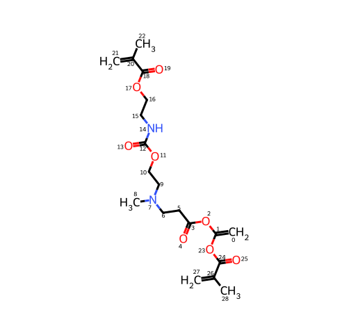 C=C(OC(=O)CCN(C)CCOC(=O)NCCOC(=O)C(=C)C)OC(=O)C(=C)C